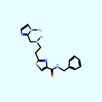 CC(=O)N(CCc1nc(C(=O)NCc2ccccc2)cs1)Cc1nccn1C